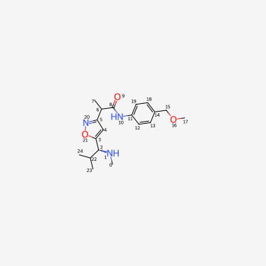 CN[C@H](c1cc(C(C)C(=O)Nc2ccc(COC)cc2)no1)C(C)C